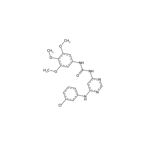 COc1cc(NC(=O)Nc2cc(Nc3cccc(Cl)c3)ncn2)cc(OC)c1OC